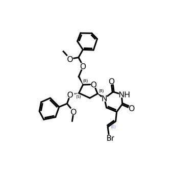 COC(OC[C@H]1O[C@@H](n2cc(/C=C/Br)c(=O)[nH]c2=O)C[C@@H]1OC(OC)c1ccccc1)c1ccccc1